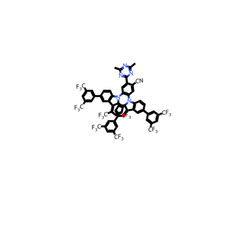 Cc1nc(C)nc(-c2cc(-n3c4ccc(-c5cc(C(F)(F)F)cc(C(F)(F)F)c5)cc4c4c(C(F)(F)F)cc(C(F)(F)F)cc43)c(-n3c4ccc(-c5cc(C(F)(F)F)cc(C(F)(F)F)c5)cc4c4cc(-c5cc(C(F)(F)F)cc(C(F)(F)F)c5)ccc43)cc2C#N)n1